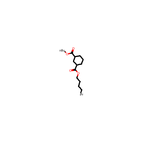 CCCCOC(=O)C1CCCC(C(=O)OCCCCC(C)C)C1